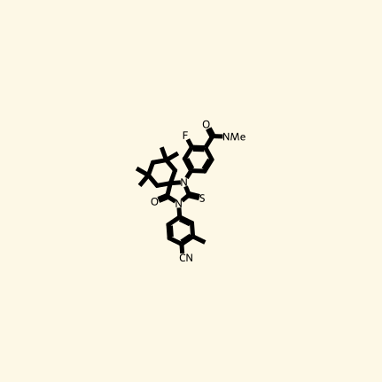 CNC(=O)c1ccc(N2C(=S)N(c3ccc(C#N)c(C)c3)C(=O)C23CC(C)(C)CC(C)(C)C3)cc1F